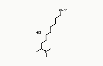 CCCCCCCCCCCCCCCCCC(C)N(C)C.Cl